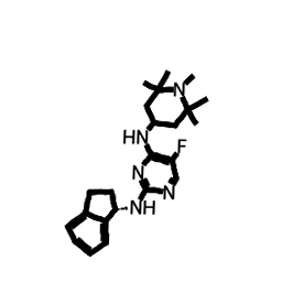 CN1C(C)(C)CC(Nc2nc(N[C@H]3CCc4ccccc43)ncc2F)CC1(C)C